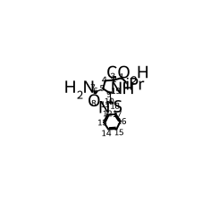 CC(C)C[C@@]1(C(=O)O)C[C@H](C(N)=O)[C@H](c2nc3ccccc3s2)N1